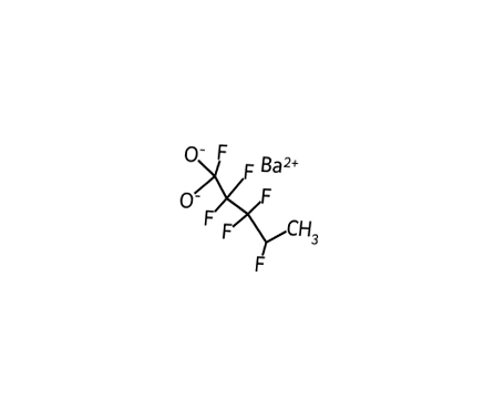 CC(F)C(F)(F)C(F)(F)C([O-])([O-])F.[Ba+2]